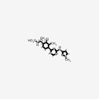 Cc1c(-c2ncnc(Nc3ccn(C)n3)n2)ccc([C@@H](C)NC(=O)O)c1Cl